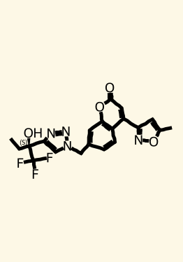 CC[C@](O)(c1cn(Cc2ccc3c(-c4cc(C)on4)cc(=O)oc3c2)nn1)C(F)(F)F